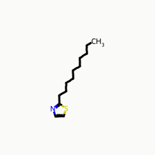 CCCCCCCCCCc1nccs1